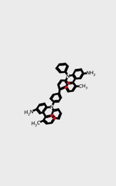 Cc1ccccc1-c1cc(N)ccc1N(c1ccccc1)c1ccc(-c2ccc(N(c3ccccc3)c3ccc(N)cc3-c3ccccc3C)cc2)cc1